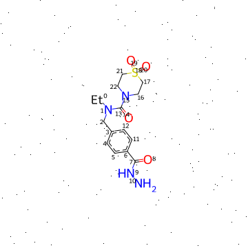 CCN(Cc1ccc(C(=O)NN)cc1)C(=O)N1CCS(=O)(=O)CC1